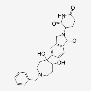 O=C1CCC(N2Cc3cc(C4(O)CCN(Cc5ccccc5)CCC4O)ccc3C2=O)C(=O)N1